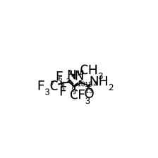 Cn1nc(C(F)(F)C(F)(F)F)c(C(F)(F)F)c1C(N)=O